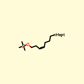 CCCCCCCCCC/C=C\CCO[Si](C)(C)C